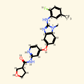 Cn1c(Nc2cc(C(F)(F)F)ccc2F)nc2cc(Oc3ccnc(NC(=O)C4CCOC4)c3)ccc21